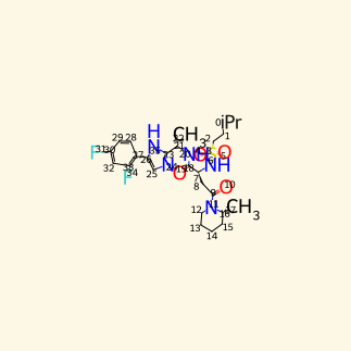 CC(C)CCS(=O)(=O)N[C@@H](CC(=O)N1CCCC[C@@H]1C)C(=O)N[C@@H](C)c1ncc(-c2ccc(F)cc2F)[nH]1